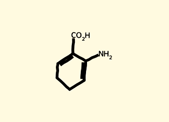 NC1=CCCC=C1C(=O)O